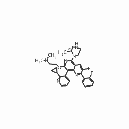 C[C@H]1CNCCN1c1nc(OCCN(C)C)c(-c2cccnc2C2CC2)c2nc(-c3ccccc3F)c(F)cc12